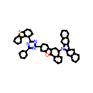 c1ccc(-c2nc(-c3ccc4c(c3)oc3c5ccccc5c(-n5c6cc7ccccc7cc6c6cc7ccccc7cc65)cc43)nc(-c3cccc4sc5ccccc5c34)n2)cc1